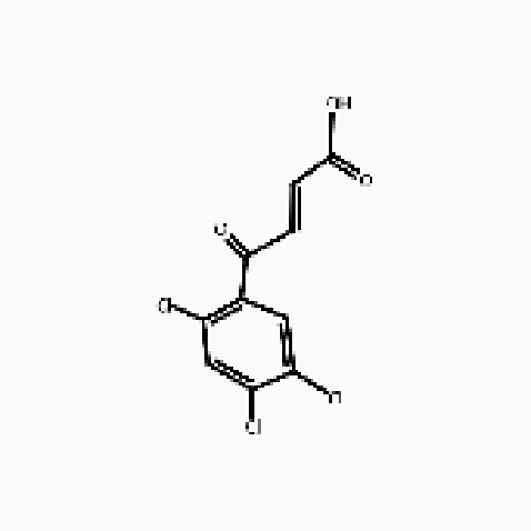 O=C(O)C=CC(=O)c1cc(Cl)c(Cl)cc1Cl